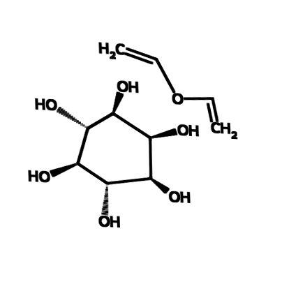 C=COC=C.O[C@H]1[C@H](O)[C@@H](O)[C@H](O)[C@@H](O)[C@H]1O